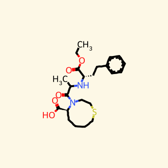 CCOC(=O)[C@H](CCc1ccccc1)NC(C)C(=O)N1CCSCCCC[C@H]1C(=O)O